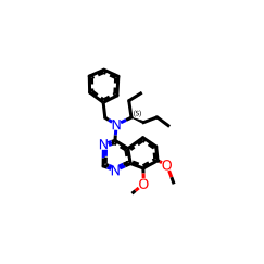 CCC[C@H](CC)N(Cc1ccccc1)c1ncnc2c(OC)c(OC)ccc12